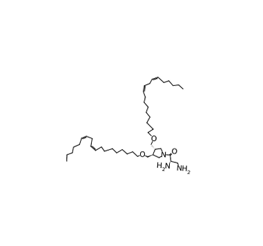 CCCCC/C=C\C/C=C\CCCCCCCCOC[C@@H]1CN(C(=O)[C@@H](N)CN)C[C@H]1COCCCCCCCC/C=C\C/C=C\CCCCC